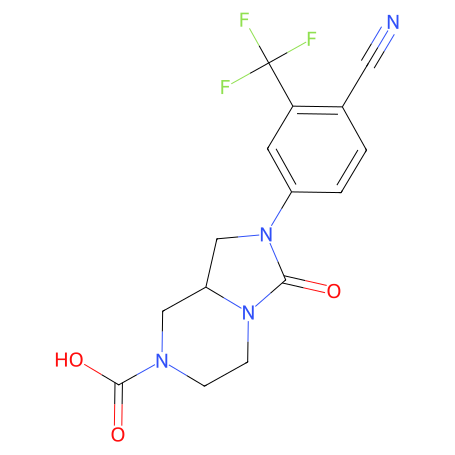 N#Cc1ccc(N2CC3CN(C(=O)O)CCN3C2=O)cc1C(F)(F)F